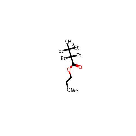 CCC(C)(CC)C(CC)(CC)C(=O)OCCOC